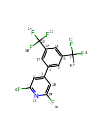 Fc1cc(-c2cc(C(F)(F)F)cc(C(F)(F)F)c2)cc(F)n1